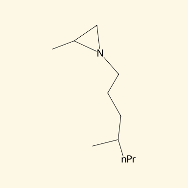 CCCC(C)CCCN1CC1C